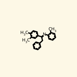 Cc1ccc(/C(Cc2ccccc2)=N/c2ccccc2C)cc1C